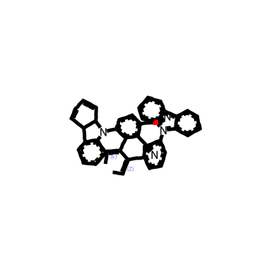 C/C=C(\C(=C/C)c1c(N2c3ccccc3C3C=CC=CC32)ccc(C#N)c1C#N)c1cccc(-n2c3ccccc3c3ccccc32)c1